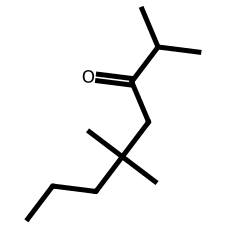 CCCC(C)(C)CC(=O)C(C)C